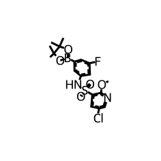 COc1ncc(Cl)cc1S(=O)(=O)Nc1cc(F)cc(B2OC(C)(C)C(C)(C)O2)c1